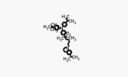 CCC(C)c1ccc(N(c2ccc(C(C)(C)C)cc2)c2ccc(C(C)(C)CC(C)CCCN3CCCc4cc(C(C)C)ccc43)cc2)cc1